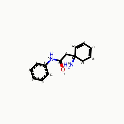 NC1(CC(=O)Nc2ccccc2)C=CC=CC1